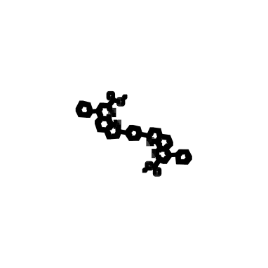 COC(=O)c1cc(-c2ccccc2)c2ccc3ccc(-c4ccc(-c5ccc6ccc7c(-c8ccccc8)cc(C(=O)OC)nc7c6n5)cc4)nc3c2n1